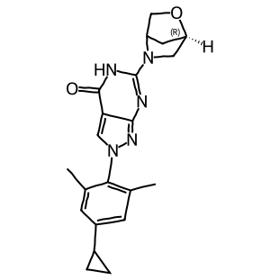 Cc1cc(C2CC2)cc(C)c1-n1cc2c(=O)[nH]c(N3C[C@H]4CC3CO4)nc2n1